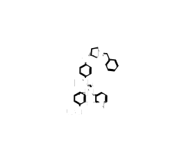 CC(C)(C)c1ccccc1Oc1ncccc1NC(=O)Nc1ccc(O[C@H]2CCN(Cc3ccccc3)C2)cc1